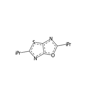 CC(C)c1nc2sc(C(C)C)nc2o1